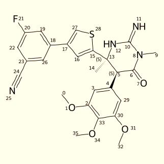 COc1cc([C@@H]2C(=O)N(C)C(=N)N[C@]2(C)c2cc(-c3cc(F)cc(C#N)c3)cs2)cc(OC)c1OC